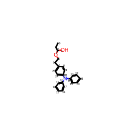 CCC(O)OCCc1ccc(N(c2ccccc2)c2ccccc2)cc1